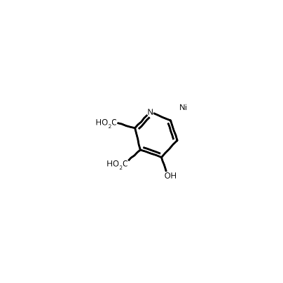 O=C(O)c1nccc(O)c1C(=O)O.[Ni]